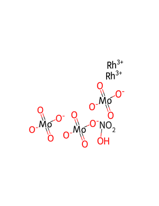 O=[N+]([O-])O.[O]=[Mo](=[O])([O-])[O-].[O]=[Mo](=[O])([O-])[O-].[O]=[Mo](=[O])([O-])[O-].[Rh+3].[Rh+3]